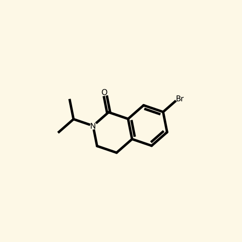 CC(C)N1CCc2ccc(Br)cc2C1=O